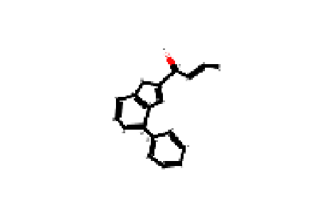 C/C=C/C(=O)C1=Cc2c(cccc2-c2ccccc2)C1